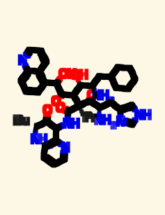 CC[C@H](C)[C@H](N)C(=O)C(NC(=O)[C@@](C(=O)[C@@H](N)Cc1c[nH]cn1)(C(C)C)C(C(=O)C(O)c1cccc2ncccc12)[C@H](O)[C@@H](N)CC1CCCCC1)c1ccccn1